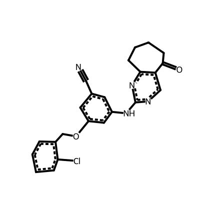 N#Cc1cc(Nc2ncc3c(n2)CCCCC3=O)cc(OCc2ccccc2Cl)c1